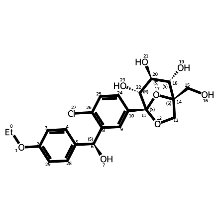 CCOc1ccc([C@H](O)c2cc([C@]34OC[C@](CO)(O3)[C@@H](O)[C@H](O)[C@H]4O)ccc2Cl)cc1